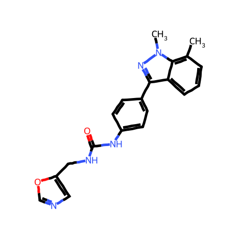 Cc1cccc2c(-c3ccc(NC(=O)NCc4cnco4)cc3)nn(C)c12